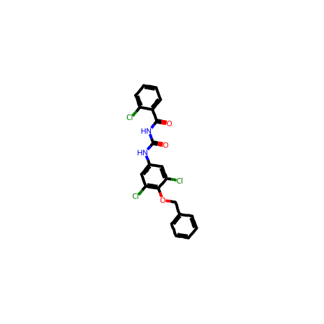 O=C(NC(=O)c1ccccc1Cl)Nc1cc(Cl)c(OCc2ccccc2)c(Cl)c1